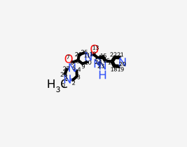 CN1CCCN(C(=O)C2CCN(C(=O)c3cc(-c4ccncc4)[nH]n3)CC2)CC1